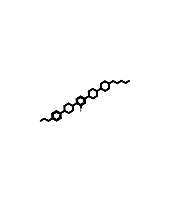 CCCCCC1CCC(C2CCC(c3ccc(C4CCC(c5ccc(CCC)cc5)CC4)c(F)c3)CC2)CC1